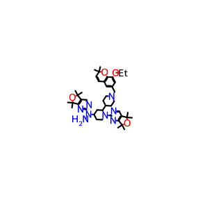 CCOc1cc(CN2CCC(C3CC(N(N)c4ncc5c(n4)C(C)(C)OC5(C)C)CCN3c3ncc4c(n3)C(C)(C)OC4(C)C)CC2)cc2c1OC(C)(C)C=C2